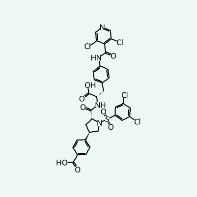 O=C(O)c1ccc([C@H]2C[C@H](C(=O)N[C@@H](Cc3ccc(NC(=O)c4c(Cl)cncc4Cl)cc3)C(=O)O)N(S(=O)(=O)c3cc(Cl)cc(Cl)c3)C2)cc1